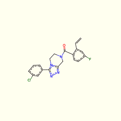 C=Cc1cc(F)ccc1C(=O)N1CCn2c(nnc2-c2cccc(Cl)c2)C1